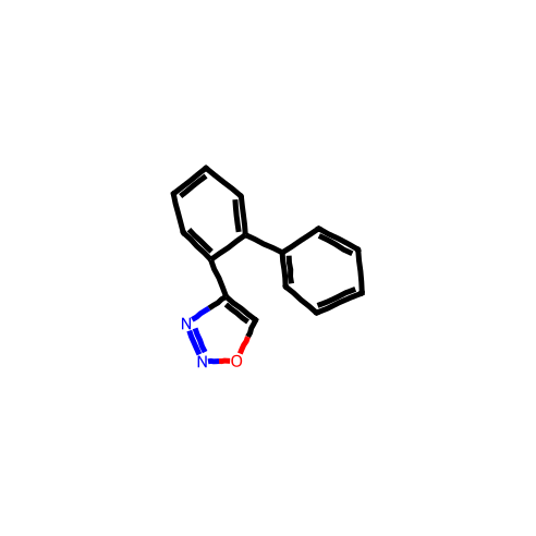 c1ccc(-c2ccccc2-c2conn2)cc1